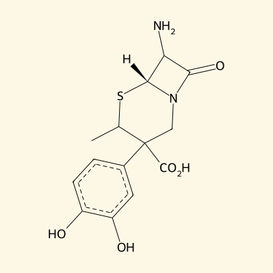 CC1S[C@@H]2C(N)C(=O)N2CC1(C(=O)O)c1ccc(O)c(O)c1